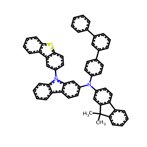 CC1(C)c2ccccc2-c2ccc(N(c3ccc(-c4cccc(-c5ccccc5)c4)cc3)c3ccc4c5ccccc5n(-c5ccc6sc7ccccc7c6c5)c4c3)cc21